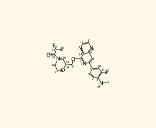 CN(C)c1ccc(-c2cc3nccnc3c(OC[C@@H]3CN(C(=O)C(F)F)CCO3)n2)cc1F